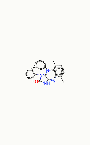 Cc1cccc(C)c1N=C1NC(=O)[N+](c2c(C)cccc2C)(c2c(C)cccc2C)C1=Nc1c(C)cccc1C